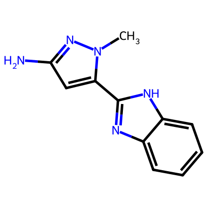 Cn1nc(N)cc1-c1nc2ccccc2[nH]1